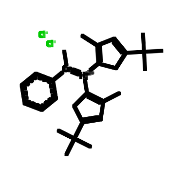 CC1=[C]([Hf+2]([C]2=C(C)C=C(C(C)(C)C)C2)=[Ge]([CH3])[c]2ccccc2)CC(C(C)(C)C)=C1.[Cl-].[Cl-]